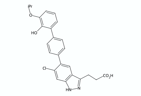 CC(C)Oc1cccc(-c2ccc(-c3cc4c(CCC(=O)O)n[nH]c4cc3Cl)cc2)c1O